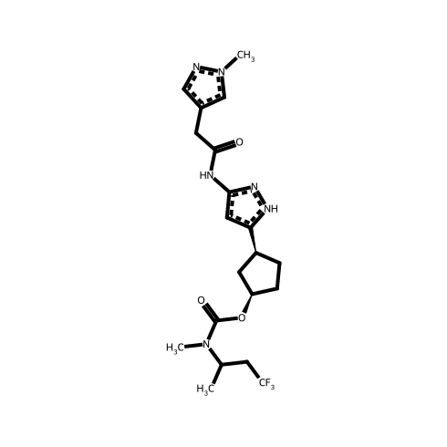 CC(CC(F)(F)F)N(C)C(=O)O[C@@H]1CC[C@H](c2cc(NC(=O)Cc3cnn(C)c3)n[nH]2)C1